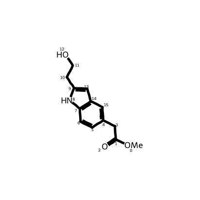 COC(=O)Cc1ccc2[nH]c(CCO)cc2c1